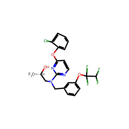 O[C@H](CN(Cc1cccc(OC(F)(F)C(F)F)c1)c1nccc(Oc2ccccc2Cl)n1)C(F)(F)F